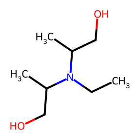 CCN(C(C)CO)C(C)CO